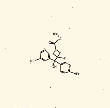 CC(C)c1ccc([C@](O)(c2cncc(C#N)c2)C2(F)CN(C(=O)OC(C)(C)C)C2)cc1